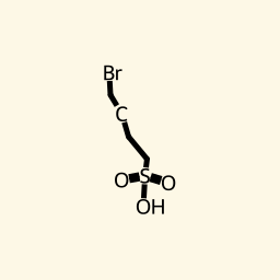 O=S(=O)(O)CCCCBr